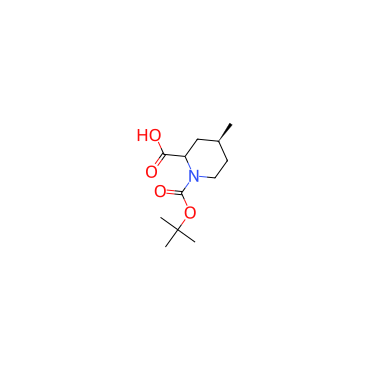 C[C@H]1CCN(C(=O)OC(C)(C)C)C(C(=O)O)C1